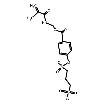 C=C(C)C(=O)NCOC(=O)c1ccc(OS(=O)(=O)CCCS(=O)(=O)CC)cc1